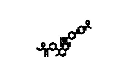 C=CC(=O)Nc1cccc(-c2c(C)c#cc3cnc(Nc4ccc(N5CCN(C(C)=O)CC5)cc4)nc23)c1